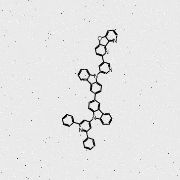 c1ccc(-c2cc(-n3c4ccccc4c4cc(-c5ccc6c(c5)c5ccccc5n6-c5cncc(-c6ccc7oc8cccnc8c7n6)c5)ccc43)cc(-c3ccccc3)n2)cc1